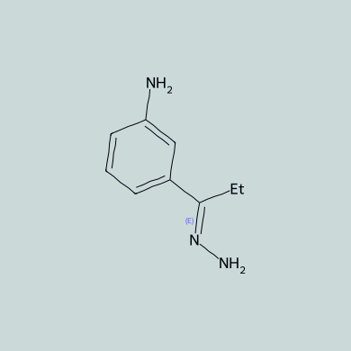 CC/C(=N\N)c1cccc(N)c1